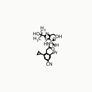 CC(C)c1cc(C#N)cc(C2CC2)c1CC(=O)NS(=N)(=O)c1sc(C(C)(C)O)nc1CO